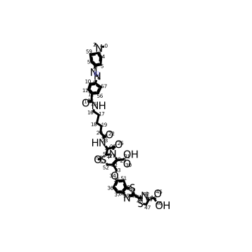 CN(C)c1ccc(/N=N/c2ccc(C(=O)NCCCCCC(=O)NC3C(=O)N4C(C(=O)O)=C(COc5ccc6nc(C7=N[C@@H](C(=O)O)CS7)sc6c5)C[S+]([O-])C34)cc2)cc1